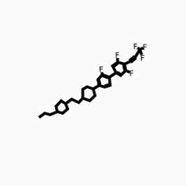 CCCC1CCC(CCC2CCC(c3ccc(-c4cc(F)c(C#CC(F)(F)F)c(F)c4)c(F)c3)CC2)CC1